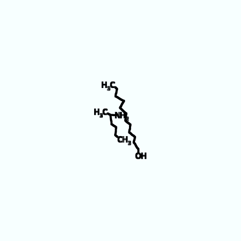 CCCCC(C)N.CCCCCCCCCCCCO